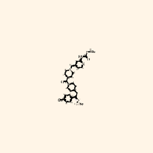 CO/N=C(/CC1CCN(C(=O)C2CCN(Cc3ccnc(NC(=O)OC(C)(C)C)c3)CC2)CC1)c1ccc(Cl)cc1